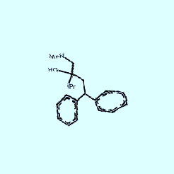 CNCC(O)(CC(c1ccccc1)c1ccccc1)C(C)C